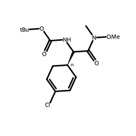 CON(C)C(=O)C(NC(=O)OC(C)(C)C)[C@H]1C=CC(Cl)=CC1